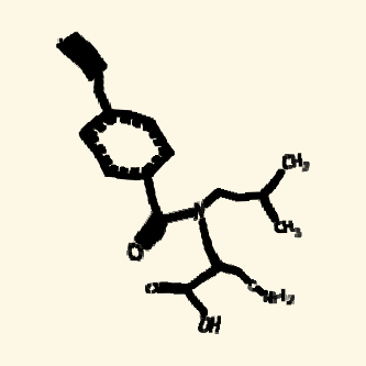 [C]#Cc1ccc(C(=O)N(CC(C)C)C(CN)C(=O)O)cc1